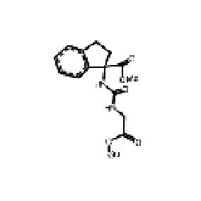 COC(=O)C1(NC(=O)NCC(=O)OC(C)(C)C)CCc2ccccc21